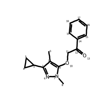 Cc1c(C2CC2)nn(C)c1OCC(=O)c1ccccc1